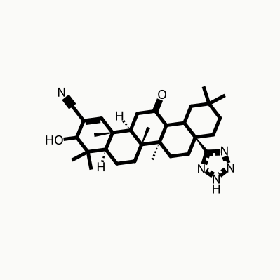 CC1(C)CC[C@]2(c3nn[nH]n3)CC[C@]3(C)C(C(=O)C[C@@H]4[C@@]5(C)C=C(C#N)C(O)C(C)(C)[C@@H]5CC[C@]43C)C2C1